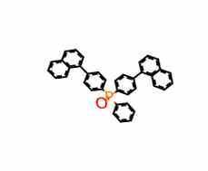 O=P(c1ccccc1)(c1ccc(-c2cccc3ccccc23)cc1)c1ccc(-c2cccc3ccccc23)cc1